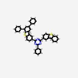 c1ccc(-c2cc(-c3ccccc3)c3sc4ccc(-c5nc(-c6ccccc6)nc(-c6ccc7sc8ccccc8c7c6)n5)cc4c3c2)cc1